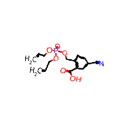 C=CCOP(=O)(OCC=C)OCc1ccc(C#N)cc1C(=O)O